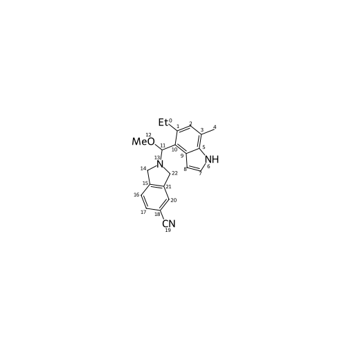 CCc1cc(C)c2[nH]ccc2c1C(OC)N1Cc2ccc(C#N)cc2C1